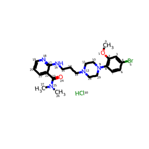 COc1cc(Br)ccc1N1CCN(CCCNc2ncccc2C(=O)N(C)C)CC1.Cl